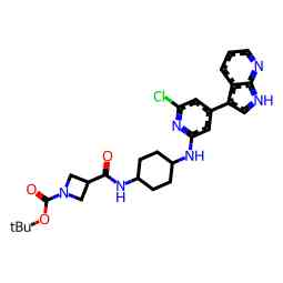 CC(C)(C)OC(=O)N1CC(C(=O)NC2CCC(Nc3cc(-c4c[nH]c5ncccc45)cc(Cl)n3)CC2)C1